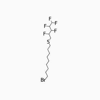 FC(F)C(F)C(F)C(F)CSCCCCCCCCCBr